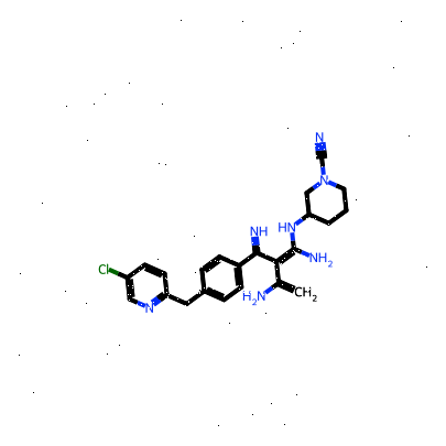 C=C(N)/C(C(=N)c1ccc(Cc2ccc(Cl)cn2)cc1)=C(\N)NC1CCCN(C#N)C1